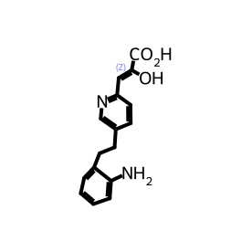 Nc1ccccc1CCc1ccc(/C=C(\O)C(=O)O)nc1